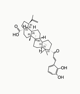 C=C(C)[C@@H]1CC[C@]2(C(=O)O)CC[C@]3(C)[C@H](CC[C@@H]4[C@@]5(C)CC[C@H](C(=O)C=Cc6cccc(O)c6O)C(C)(C)[C@@H]5CC[C@]43C)[C@@H]12